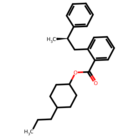 CCCC1CCC(OC(=O)c2ccccc2C[C@@H](C)c2ccccc2)CC1